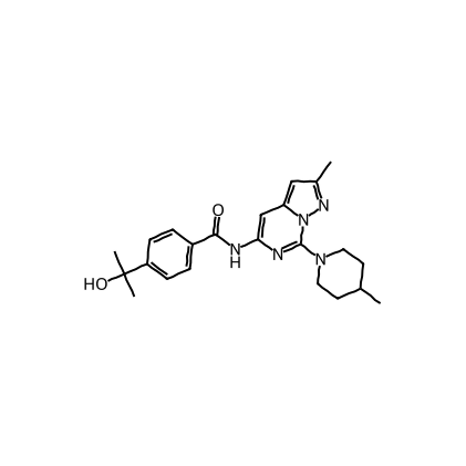 Cc1cc2cc(NC(=O)c3ccc(C(C)(C)O)cc3)nc(N3CCC(C)CC3)n2n1